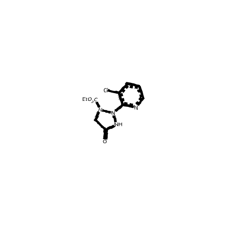 CCOC(=O)N1CC(=O)NN1c1ncccc1Cl